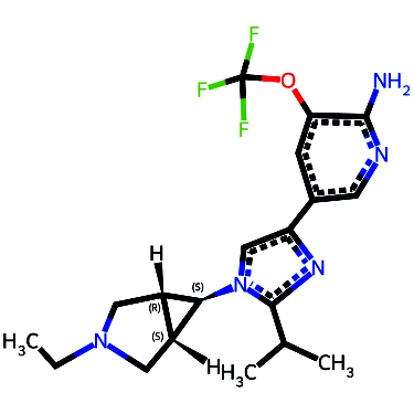 CCN1C[C@@H]2[C@H](C1)[C@H]2n1cc(-c2cnc(N)c(OC(F)(F)F)c2)nc1C(C)C